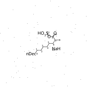 CCCCCCCCCCCCCCCCC(C)C(=O)OS(=O)(=O)O.[NaH]